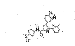 Cc1cccc(-n2nc(C(=O)Nc3ccc([S+](C)[O-])cc3)cc2-c2ccc3ncnn3c2)n1